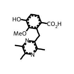 COc1c(O)ccc(C(=O)O)c1Cc1nc(C)c(C)nc1C